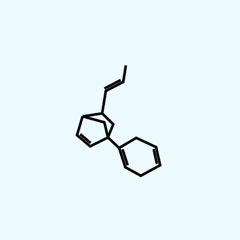 CC=CC1CC2(C3=CCC=CC3)C=CC1C2